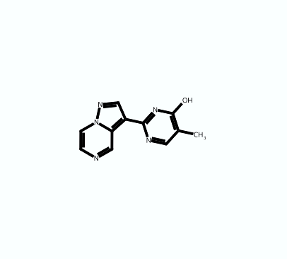 Cc1cnc(-c2cnn3ccncc23)nc1O